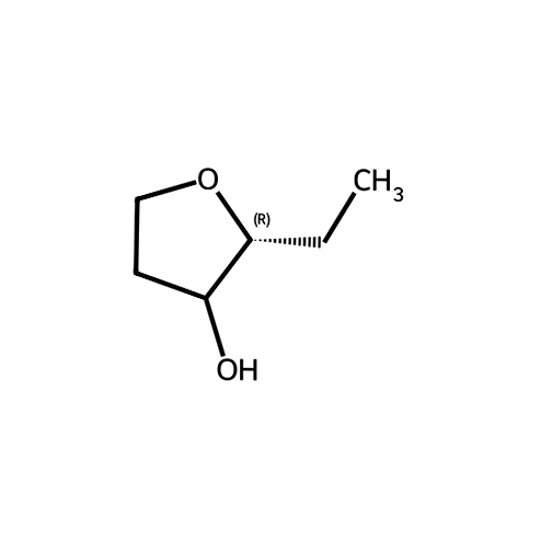 CC[C@H]1OCCC1O